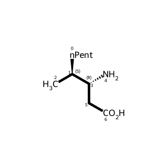 CCCCC[C@H](C)[C@H](N)CC(=O)O